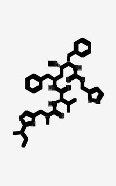 CCC(C)c1nc(CN(C)C(=O)N[C@H](C(=O)N[C@@H](Cc2ccccc2)C[C@H](O)[C@H](Cc2ccccc2)NC(=O)OCc2ccns2)C(C)C)cs1